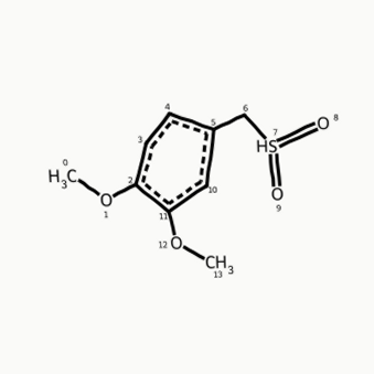 COc1ccc(C[SH](=O)=O)cc1OC